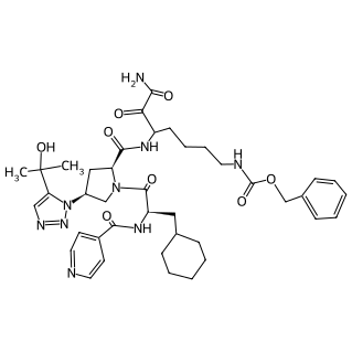 CC(C)(O)c1cnnn1[C@H]1C[C@@H](C(=O)NC(CCCCNC(=O)OCc2ccccc2)C(=O)C(N)=O)N(C(=O)[C@@H](CC2CCCCC2)NC(=O)c2ccncc2)C1